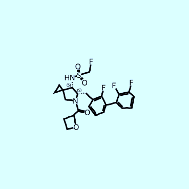 O=C(C1CCO1)N1CC2(CC2)[C@H](NS(=O)(=O)CF)[C@@H]1Cc1cccc(-c2cccc(F)c2F)c1F